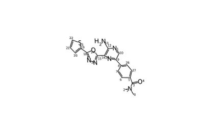 CN(C)C(=O)c1ccc(-c2cnc(N)c(-c3nnc(-c4cccs4)o3)n2)cc1